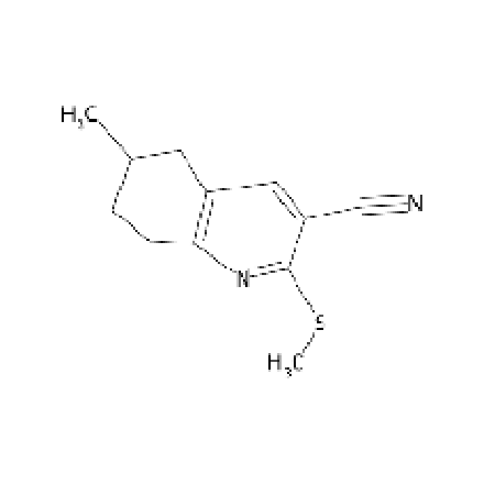 CSc1nc2c(cc1C#N)CC(C)CC2